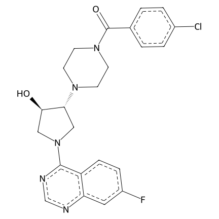 O=C(c1ccc(Cl)cc1)N1CCN([C@@H]2CN(c3ncnc4cc(F)ccc34)C[C@H]2O)CC1